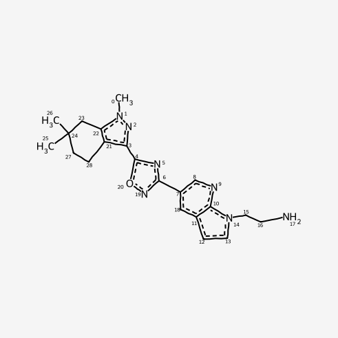 Cn1nc(-c2nc(-c3cnc4c(ccn4CCN)c3)no2)c2c1CC(C)(C)CC2